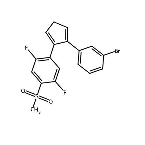 CS(=O)(=O)c1cc(F)c(C2=CCC=C2c2cccc(Br)c2)cc1F